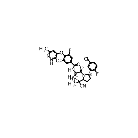 Cc1cc(Oc2c(F)cc(C(=O)N[C@H](C)C(=O)N3C(C(C)(C)C#N)CC[C@H]3c3cc(Cl)ccc3F)cc2F)c(=O)[nH]n1